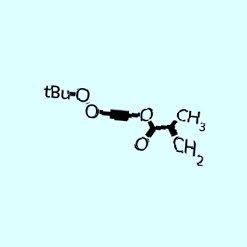 C=C(C)C(=O)OC#COOC(C)(C)C